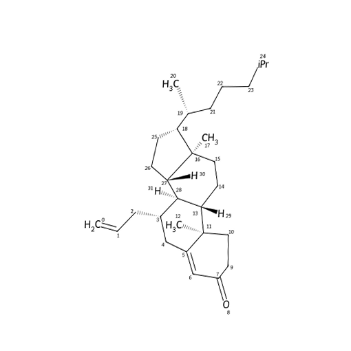 C=CC[C@H]1CC2=CC(=O)CC[C@]2(C)[C@H]2CC[C@]3(C)[C@@H]([C@H](C)CCCC(C)C)CC[C@H]3[C@H]12